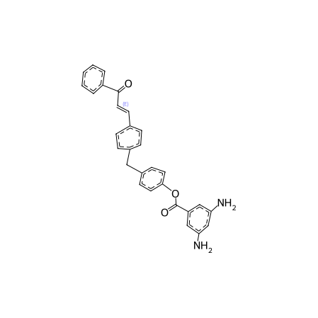 Nc1cc(N)cc(C(=O)Oc2ccc(Cc3ccc(/C=C/C(=O)c4ccccc4)cc3)cc2)c1